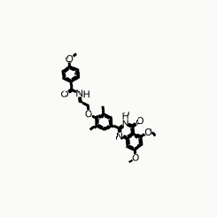 COc1ccc(C(=O)NCCOc2c(C)cc(-c3nc4cc(OC)cc(OC)c4c(=O)[nH]3)cc2C)cc1